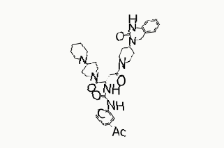 CC(=O)c1cccc(NC(=O)N[C@@H](CC(=O)N2CCC(N3Cc4ccccc4NC3=O)CC2)C(=O)N2CCC(N3CCCCC3)CC2)c1